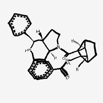 O=C(N[C@H]1C2CCC(CC2)[C@@H]1C(=O)N1CC[C@H]2[C@H](c3ccccc3)Nc3ccccc3[C@@H]21)c1ccccc1